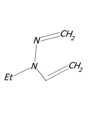 C=CN(CC)N=C